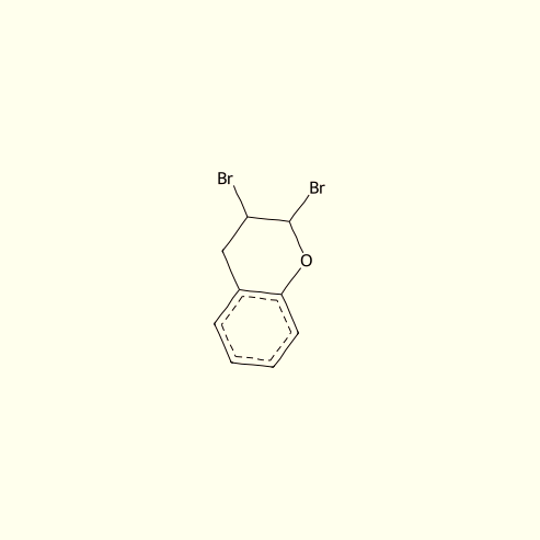 BrC1Cc2ccccc2OC1Br